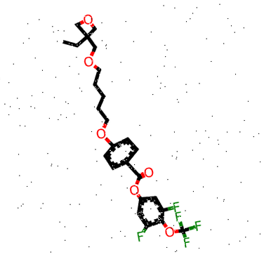 CCC1(COCCCCCOc2ccc(C(=O)Oc3cc(F)c(OC(F)(F)F)c(F)c3)cc2)COC1